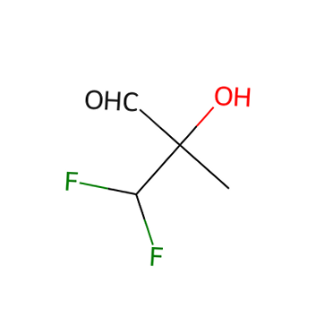 CC(O)(C=O)C(F)F